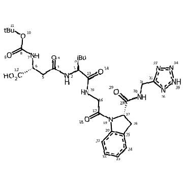 CC[C@H](C)C(NC(=O)C[C@@H](NC(=O)OC(C)(C)C)C(=O)O)C(=O)NCC(=O)N1c2ccccc2C[C@H]1C(=O)NCc1nn[nH]n1